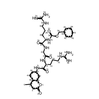 Cc1cc(=O)oc2cc(NC(=O)[C@H](CCCNC(=N)N)NC(=O)CNC(=O)[C@@H](CCCNC(=N)N)NC(=O)OCc3ccccc3)ccc12